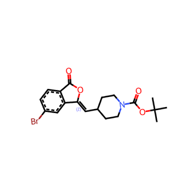 CC(C)(C)OC(=O)N1CCC(/C=C2\OC(=O)c3ccc(Br)cc32)CC1